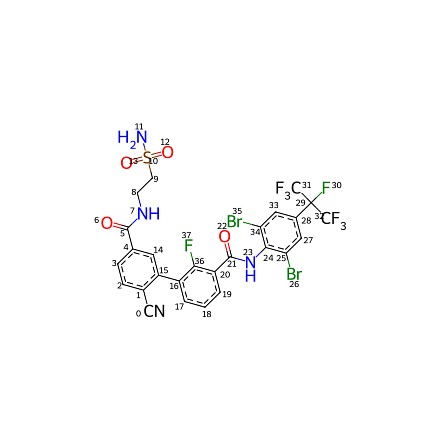 N#Cc1ccc(C(=O)NCCS(N)(=O)=O)cc1-c1cccc(C(=O)Nc2c(Br)cc(C(F)(C(F)(F)F)C(F)(F)F)cc2Br)c1F